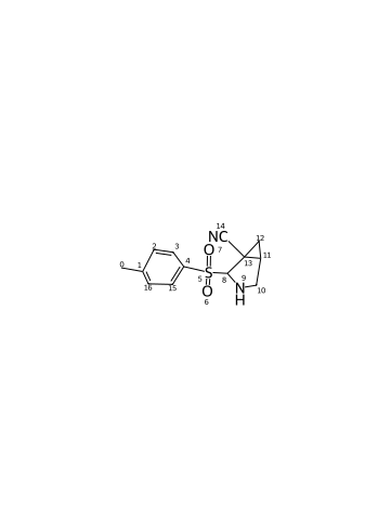 Cc1ccc(S(=O)(=O)C2NCC3CC32C#N)cc1